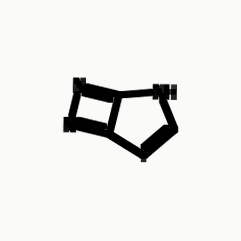 [c]1c[nH]c2c1=NN=2